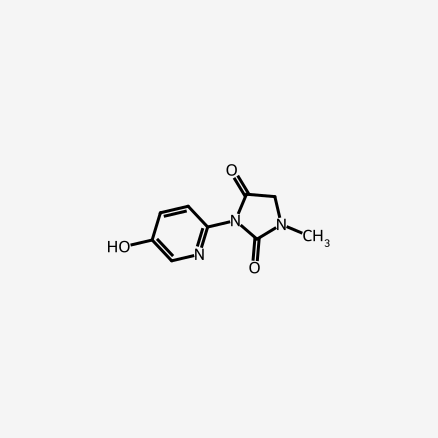 CN1CC(=O)N(c2ccc(O)cn2)C1=O